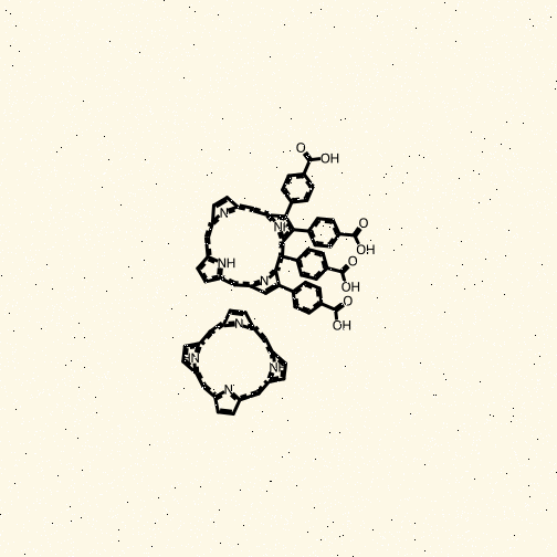 C1=Cc2cc3ccc(cc4nc(cc5ccc(cc1n2)[nH]5)C=C4)[nH]3.O=C(O)c1ccc(C2=Cc3cc4ccc(cc5nc(cc6[nH]c(c(-c7ccc(C(=O)O)cc7)c2n3)c(-c2ccc(C(=O)O)cc2)c6-c2ccc(C(=O)O)cc2)C=C5)[nH]4)cc1